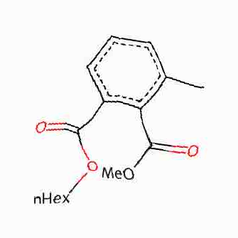 CCCCCCOC(=O)c1cccc(C)c1C(=O)OC